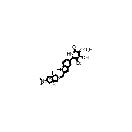 CCc1c(-c2ccc3c(c2)cc(CN2C[C@H]4C[C@H](N(C)C)C[C@H]4C2)n3C)[nH]c(=O)c(C(=O)O)c1O